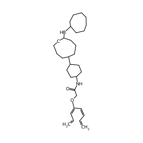 C=C/C=C\C(=C/C=C)OCC(=O)NC1CCC(C2CCCCC(BC3CCCCCCC3)CCC2)CC1